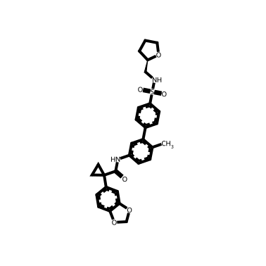 Cc1ccc(NC(=O)C2(c3ccc4c(c3)OCO4)CC2)cc1-c1ccc(S(=O)(=O)NC[C@H]2CCCO2)cc1